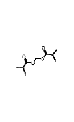 CC(I)C(=O)OCOC(=O)C(C)I